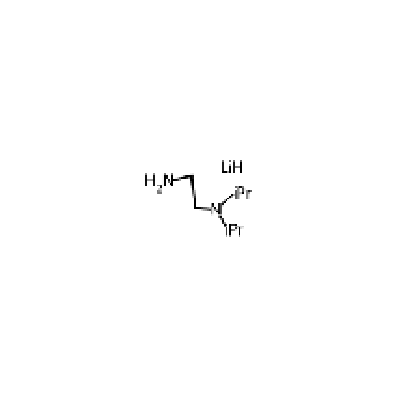 CC(C)N(CCN)C(C)C.[LiH]